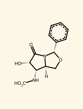 O=C(O)N[C@@H]1[C@H](O)C(=O)N2[C@H](c3ccccc3)OC[C@@H]12